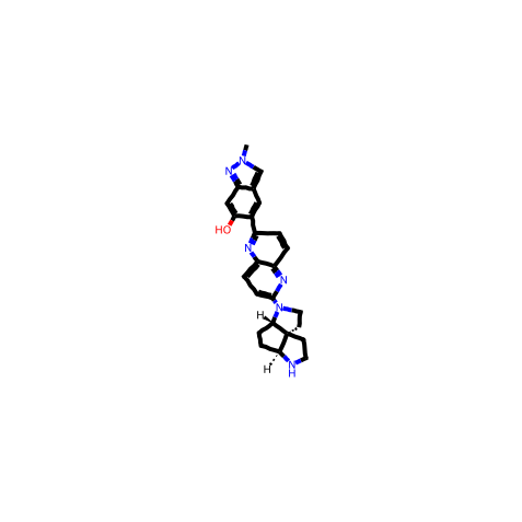 Cn1cc2cc(-c3ccc4nc(N5CC[C@]67CCN[C@H]6CC[C@H]57)ccc4n3)c(O)cc2n1